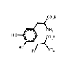 CC(C)CC(N)C(=O)O.NC(Cc1ccc(O)c(O)c1)C(=O)O